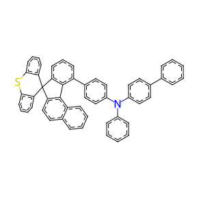 c1ccc(-c2ccc(N(c3ccccc3)c3ccc(-c4cccc5c4-c4c(ccc6ccccc46)C54c5ccccc5Sc5ccccc54)cc3)cc2)cc1